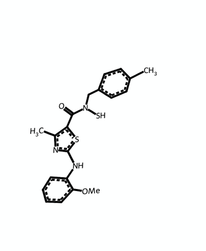 COc1ccccc1Nc1nc(C)c(C(=O)N(S)Cc2ccc(C)cc2)s1